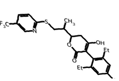 CCc1cc(C)cc(CC)c1C1=C(O)CC(C(C)CSc2ccc(C(F)(F)F)cn2)OC1=O